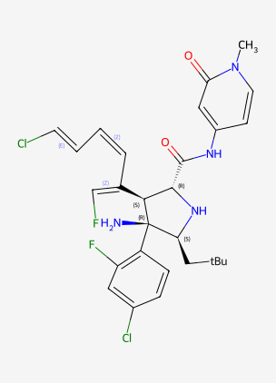 Cn1ccc(NC(=O)[C@@H]2N[C@@H](CC(C)(C)C)[C@](N)(c3ccc(Cl)cc3F)[C@H]2C(/C=C\C=C\Cl)=C\F)cc1=O